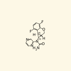 NC(=O)N(c1cnccn1)[C@@H]1[C@H]2COc3c(F)ccc(F)c3[C@@H]21